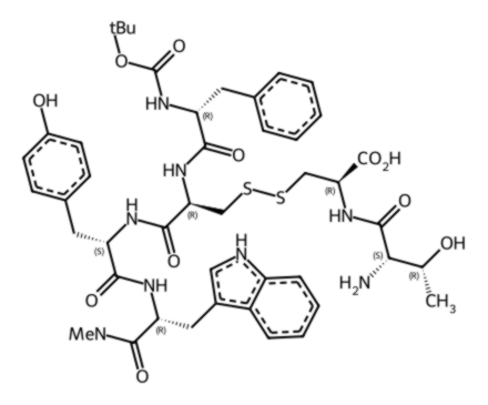 CNC(=O)[C@@H](Cc1c[nH]c2ccccc12)NC(=O)[C@H](Cc1ccc(O)cc1)NC(=O)[C@H](CSSC[C@H](NC(=O)[C@@H](N)[C@@H](C)O)C(=O)O)NC(=O)[C@@H](Cc1ccccc1)NC(=O)OC(C)(C)C